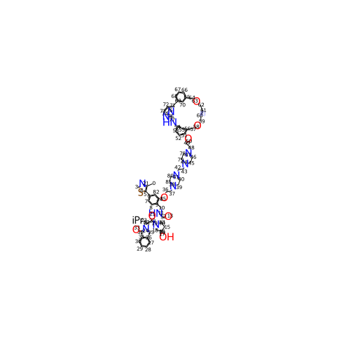 Cc1ncsc1-c1ccc(CNC(=O)[C@@H]2C[C@@H](O)CN2C(=O)[C@H](C(C)C)N2Cc3ccccc3C2=O)c(OCCN2CCN(CCN3CCN(CCOc4ccc5cc4COC/C=C/COCc4cccc(c4)-c4ccnc(n4)N5)CC3)CC2)c1